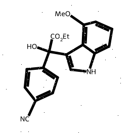 CCOC(=O)C(O)(c1ccc(C#N)cc1)c1c[nH]c2cccc(OC)c12